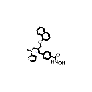 CN(C/C(=C/c1ccc(C(=O)NO)cc1)COc1cccc2ccccc12)c1cccs1